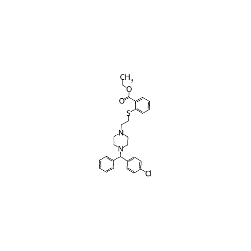 CCOC(=O)c1ccccc1SCCN1CCN(C(c2ccccc2)c2ccc(Cl)cc2)CC1